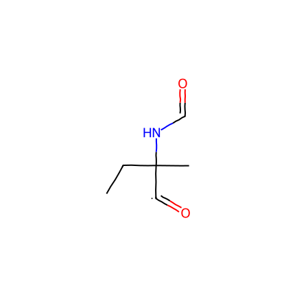 CCC(C)([C]=O)NC=O